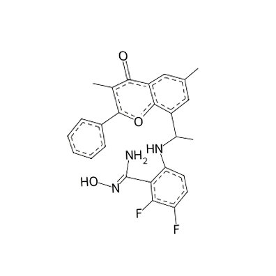 Cc1cc(C(C)Nc2ccc(F)c(F)c2C(N)=NO)c2oc(-c3ccccc3)c(C)c(=O)c2c1